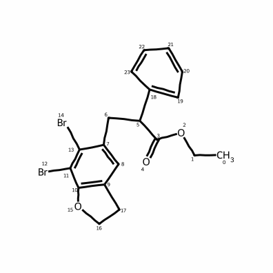 CCOC(=O)C(Cc1cc2c(c(Br)c1Br)OCC2)c1ccccc1